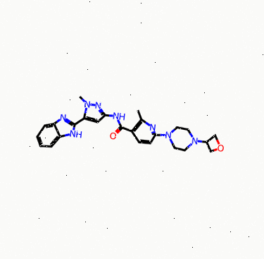 Cc1nc(N2CCN(C3COC3)CC2)ccc1C(=O)Nc1cc(-c2nc3ccccc3[nH]2)n(C)n1